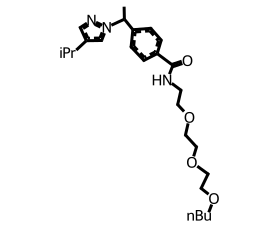 CCCCOCCOCCOCCNC(=O)c1ccc(C(C)n2cc(C(C)C)cn2)cc1